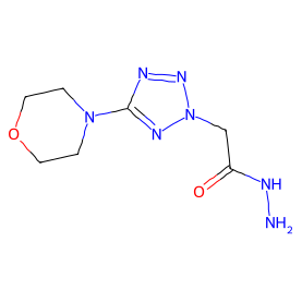 NNC(=O)Cn1nnc(N2CCOCC2)n1